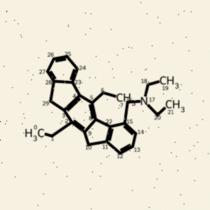 CCc1c2c(c(CC)c3c1Cc1cccc(CN(CC)CC)c1-3)-c1ccccc1C2